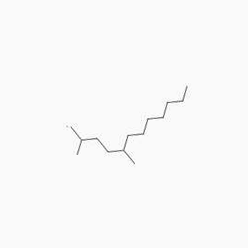 [CH2]C(C)CCC(C)CCCCCCC